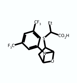 CCC(SC1CC2OC1N2c1cc(C(F)(F)F)cc(C(F)(F)F)c1)C(=O)O